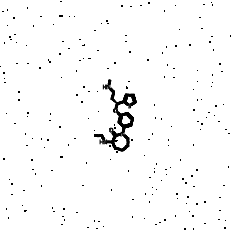 CCNC1CCCCN(c2cccc(O[C@@H](CCNC)c3cccs3)c2)C1=O